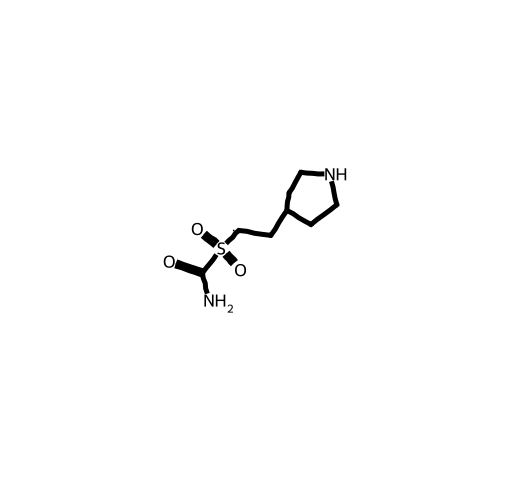 NC(=O)S(=O)(=O)[CH]CC1CCNCC1